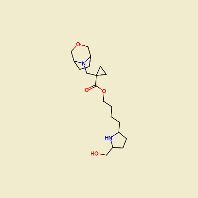 O=C(OCCCCC1CCC(CO)N1)C1(CN2C3CCC2COC3)CC1